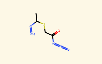 CC(N=N)SCC(=O)N=[N+]=[N-]